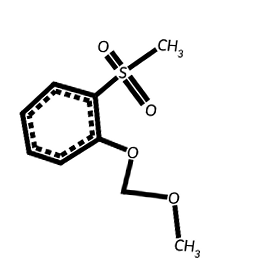 COCOc1ccccc1S(C)(=O)=O